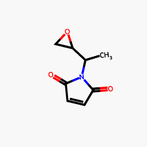 CC(C1CO1)N1C(=O)C=CC1=O